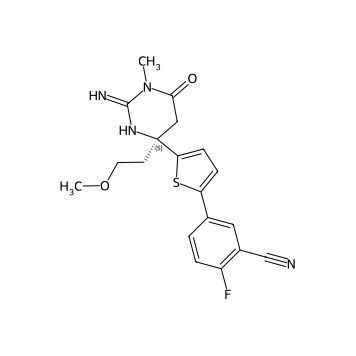 COCC[C@@]1(c2ccc(-c3ccc(F)c(C#N)c3)s2)CC(=O)N(C)C(=N)N1